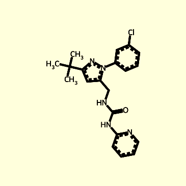 CC(C)(C)c1cc(CNC(=O)Nc2ccccn2)n(-c2cccc(Cl)c2)n1